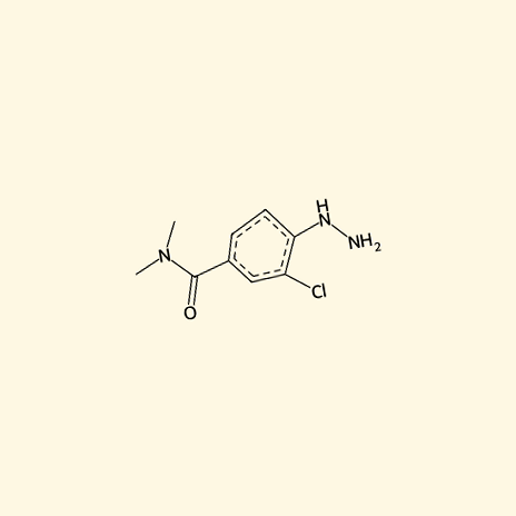 CN(C)C(=O)c1ccc(NN)c(Cl)c1